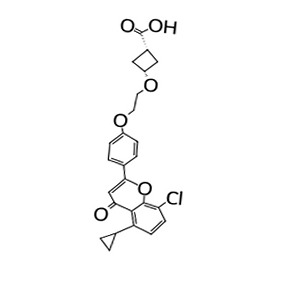 O=c1cc(-c2ccc(OCCO[C@H]3C[C@@H](C(=O)O)C3)cc2)oc2c(Cl)ccc(C3CC3)c12